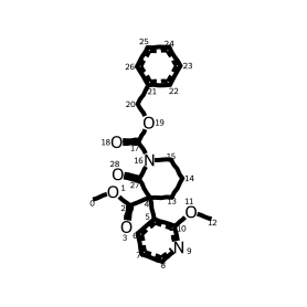 COC(=O)C1(c2cccnc2OC)CCCN(C(=O)OCc2ccccc2)C1=O